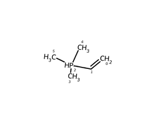 C=C[PH](C)(C)C